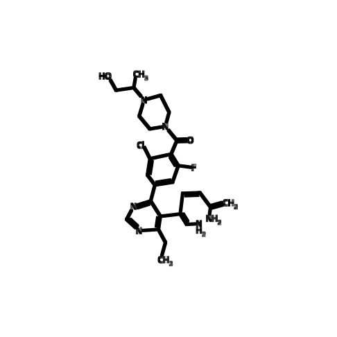 C=C(N)/C=C\C(=C/N)c1c(CC)ncnc1-c1cc(F)c(C(=O)N2CCN(C(C)CO)CC2)c(Cl)c1